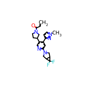 C=CC(=O)N1CCC(c2cnc(N3CC4C(C3)C4(F)F)cc2-c2ccn(C)n2)C1